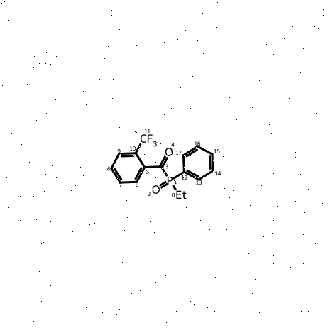 CCP(=O)(C(=O)c1ccccc1C(F)(F)F)c1ccccc1